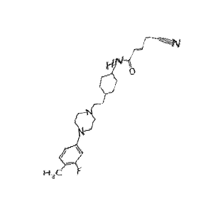 Cc1ccc(N2CCN(CCC3CCC(NC(=O)CCCC#N)CC3)CC2)cc1F